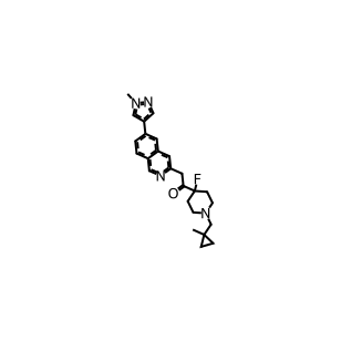 Cn1cc(-c2ccc3cnc(CC(=O)C4(F)CCN(CC5(C)CC5)CC4)cc3c2)cn1